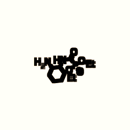 CCOP(=O)(OCC)C(=O)NC1CCCCC1N